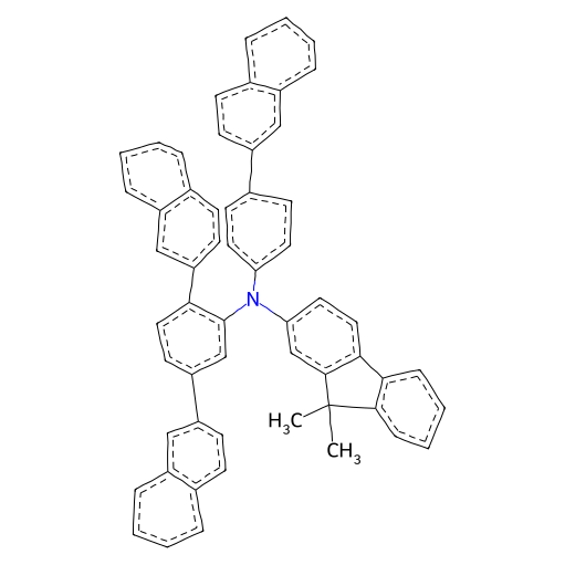 CC1(C)c2ccccc2-c2ccc(N(c3ccc(-c4ccc5ccccc5c4)cc3)c3cc(-c4ccc5ccccc5c4)ccc3-c3ccc4ccccc4c3)cc21